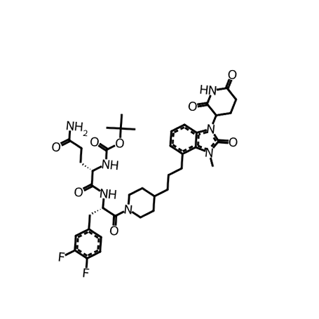 Cn1c(=O)n(C2CCC(=O)NC2=O)c2cccc(CCCC3CCN(C(=O)[C@H](Cc4ccc(F)c(F)c4)NC(=O)[C@H](CCC(N)=O)NC(=O)OC(C)(C)C)CC3)c21